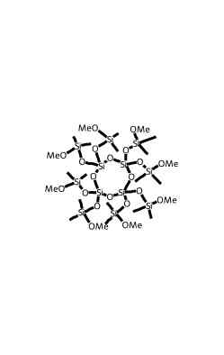 CO[Si](C)(C)O[Si]1(O[Si](C)(C)OC)O[Si](O[Si](C)(C)OC)(O[Si](C)(C)OC)O[Si](O[Si](C)(C)OC)(O[Si](C)(C)OC)O[Si](O[Si](C)(C)OC)(O[Si](C)(C)OC)O1